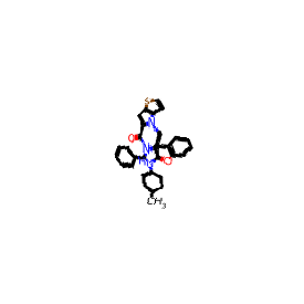 CC1CCC(NC(=O)C2(c3ccccc3)Cn3c(cc4sccc43)C(=O)N2Cc2ccccc2)CC1